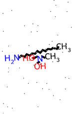 CCCCCCCCCCCCCCCCN.CCCN(CCO)CCO